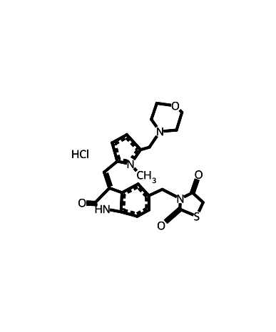 Cl.Cn1c(C=C2C(=O)Nc3ccc(CN4C(=O)CSC4=O)cc32)ccc1CN1CCOCC1